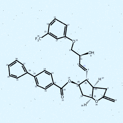 C=C1C[C@@H]2[C@@H](/C=C/[C@H](O)COc3cccc(C(F)(F)F)c3)[C@H](OC(=O)c3ccc(-c4ccccc4)cc3)C[C@@H]2O1